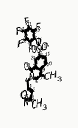 Cc1cc(Cn2cc(C)c3ccc(S(=O)(=O)Oc4c(F)c(F)c(F)c(F)c4F)cc3c2=O)on1